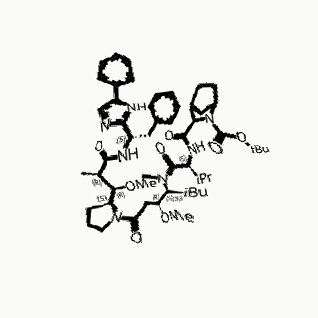 CC[C@H](C)[C@@H]([C@@H](CC(=O)N1CCC[C@H]1[C@H](OC)[C@@H](C)C(=O)N[C@@H](Cc1ccccc1)c1ncc(-c2ccccc2)[nH]1)OC)N(C)C(=O)[C@@H](NC(=O)C1C2CCC(C2)N1C(=O)OC(C)(C)C)C(C)C